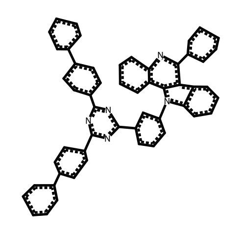 c1ccc(-c2ccc(-c3nc(-c4ccc(-c5ccccc5)cc4)nc(-c4cccc(-n5c6ccccc6c6c(-c7ccccc7)nc7ccccc7c65)c4)n3)cc2)cc1